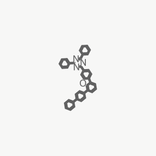 c1ccc(-c2ccc(-c3cccc4c3oc3cc(-c5nc(-c6ccccc6)nc(-c6ccccc6)n5)ccc34)cc2)cc1